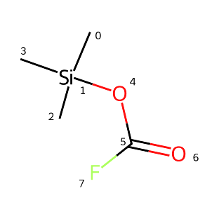 C[Si](C)(C)OC(=O)F